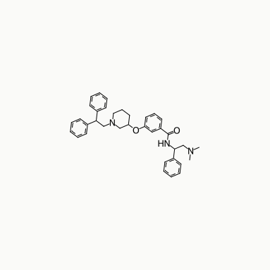 CN(C)CC(NC(=O)c1cccc(OC2CCCN(CC(c3ccccc3)c3ccccc3)C2)c1)c1ccccc1